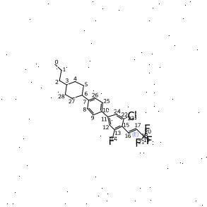 CCCC1CCC(c2ccc(-c3cc(F)c(/C=C/C(F)(F)F)c(Cl)c3)cc2)CC1